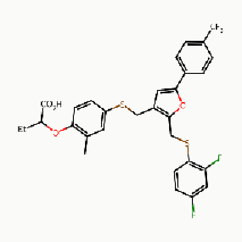 CCC(Oc1ccc(SCc2cc(-c3ccc(C(F)(F)F)cc3)oc2CSc2ccc(F)cc2F)cc1C)C(=O)O